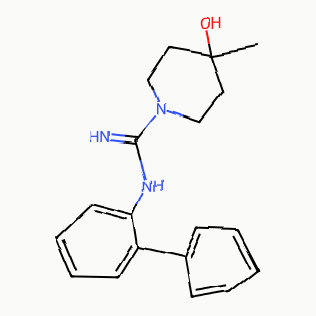 CC1(O)CCN(C(=N)Nc2ccccc2-c2ccccc2)CC1